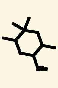 CSC1CC(C)C(C)(C)CC1C